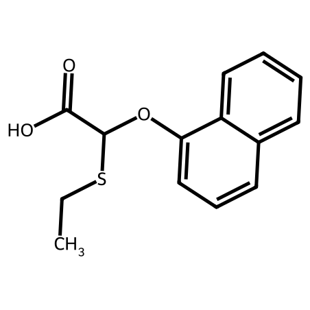 CCSC(Oc1cccc2ccccc12)C(=O)O